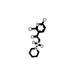 O=C(CS(=O)(=O)N1CCCCC1)c1ccc(Cl)nc1Cl